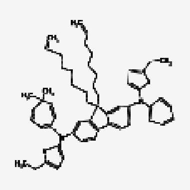 C=CCCCCCCC1(CCCCCCC=C)c2cc(N(C3=CC=CC(C)(C)C=C3)c3ccc(CC)s3)ccc2-c2ccc(N(c3ccccc3)c3ccc(CC)s3)cc21